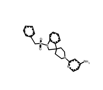 Nc1ccnc(N2CCC3(CC2)CN(S(=O)(=O)Cc2ccccc2)c2ccccc23)c1